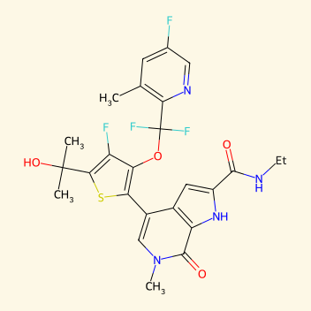 CCNC(=O)c1cc2c(-c3sc(C(C)(C)O)c(F)c3OC(F)(F)c3ncc(F)cc3C)cn(C)c(=O)c2[nH]1